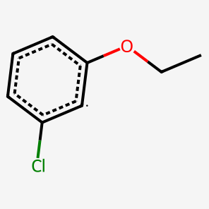 CCOc1[c]c(Cl)ccc1